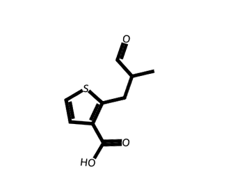 CC(C=O)Cc1sccc1C(=O)O